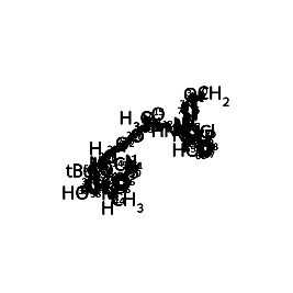 C=CC(=O)N1CCN(c2nc(NCCC(=O)N(C)CCOCCOCCOCC(=O)N[C@H](C(=O)N3C[C@H](O)C[C@H]3C(=O)N[C@@H](C)c3ccc(-c4scnc4C)cc3)C(C)(C)C)nc3c(F)c(-c4c(O)cccc4F)c(Cl)cc23)CC1